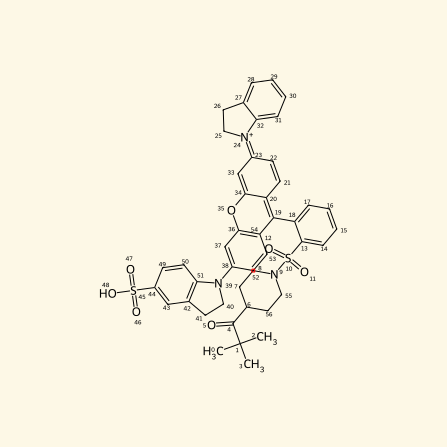 CC(C)(C)C(=O)C1CCN(S(=O)(=O)c2ccccc2-c2c3cc/c(=[N+]4/CCc5ccccc54)cc-3oc3cc(N4CCc5cc(S(=O)(=O)O)ccc54)ccc23)CC1